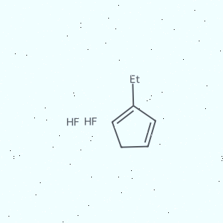 CCC1=CCC=C1.F.F